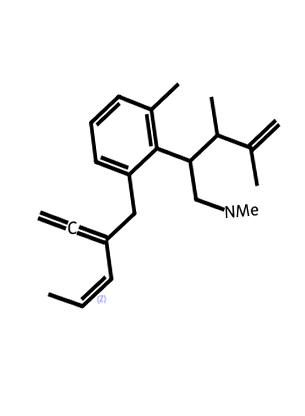 C=C=C(/C=C\C)Cc1cccc(C)c1C(CNC)C(C)C(=C)C